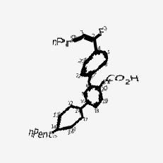 CCC/C=C(/F)c1ccc(-c2cc(C3CCC(CCCCC)CC3)ccc2C(=O)O)cc1